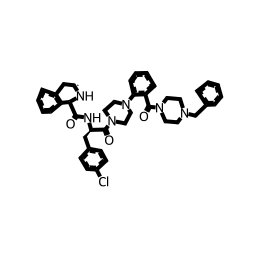 O=C(N[C@H](Cc1ccc(Cl)cc1)C(=O)N1CCN(c2ccccc2C(=O)N2CCN(Cc3ccccc3)CC2)CC1)C1N[CH]Cc2ccccc21